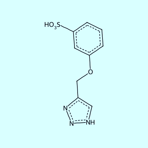 O=S(=O)(O)c1cccc(OCc2c[nH]nn2)c1